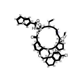 CC[C@H]1C/C=C/[C@H](OC)[C@@H]2CCC[C@H]2CN2C[C@@]3(CCCc4cc(Cl)ccc43)COc3ccc(cc32)C(=O)N=S(=O)(NC(=O)c2cc3n(c2)CC=C3)C1